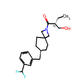 CC[C@H](CO)C(=O)N1CC2(CCC(Cc3cccc(C(F)F)c3)CC2)C1